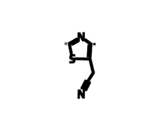 N#CCc1[c]n[c]s1